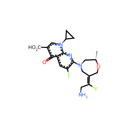 C[C@H]1CN(c2nc3c(cc2F)c(=O)c(C(=O)O)cn3C2CC2)C/C(=C(/F)CN)CO1